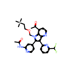 CC(=O)Nc1cc(-c2c(-c3cccc(C(F)F)n3)c3nccc(C(C)=O)c3n2COCC[Si](C)(C)C)ccn1